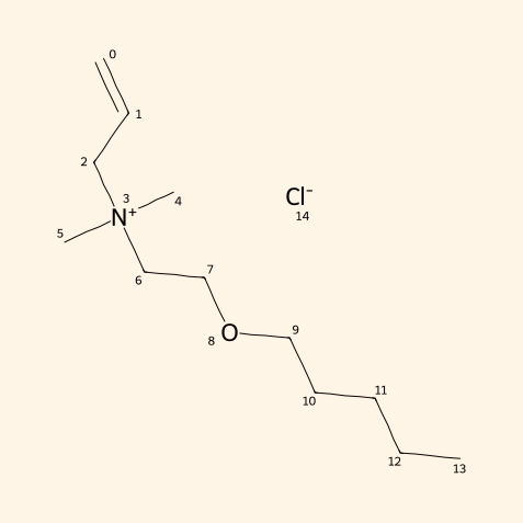 C=CC[N+](C)(C)CCOCCCCC.[Cl-]